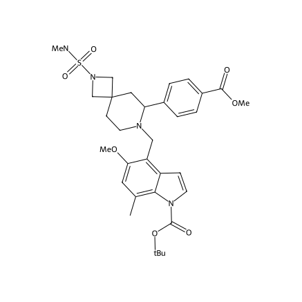 CNS(=O)(=O)N1CC2(CCN(Cc3c(OC)cc(C)c4c3ccn4C(=O)OC(C)(C)C)C(c3ccc(C(=O)OC)cc3)C2)C1